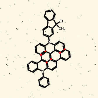 CCC1(C)c2ccccc2-c2ccc(N(c3ccccc3)c3ccccc3-c3ccc(-c4ccccc4N(c4ccccc4)c4ccc(-c5ccccc5)cc4)cc3)cc21